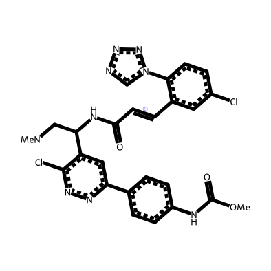 CNCC(NC(=O)/C=C/c1cc(Cl)ccc1-n1cnnn1)c1cc(-c2ccc(NC(=O)OC)cc2)nnc1Cl